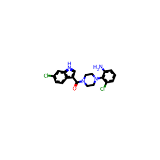 Nc1cccc(Cl)c1N1CCN(C(=O)c2c[nH]c3cc(Cl)ccc23)CC1